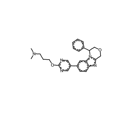 CN(C)CCCOc1ncc(-c2ccc3nc4n(c3c2)C(c2ccccc2)COC4)cn1